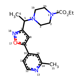 CCOC(=O)N1CCN(C(C)c2cc(-c3ccnc(C)c3)on2)CC1